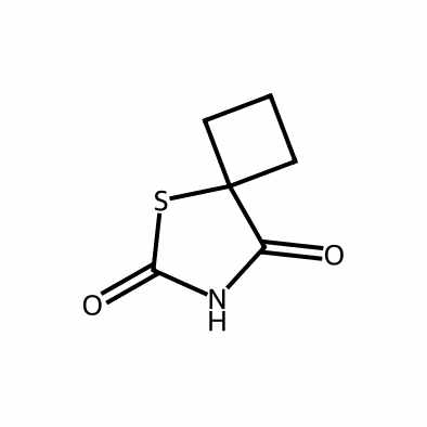 O=C1NC(=O)C2(CCC2)S1